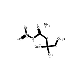 N.O=C(O)CC(O)(CC(=O)O[N+](=O)O)C(=O)[O-]